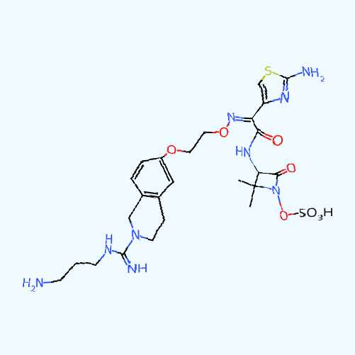 CC1(C)C(NC(=O)/C(=N\OCCOc2ccc3c(c2)CCN(C(=N)NCCCN)C3)c2csc(N)n2)C(=O)N1OS(=O)(=O)O